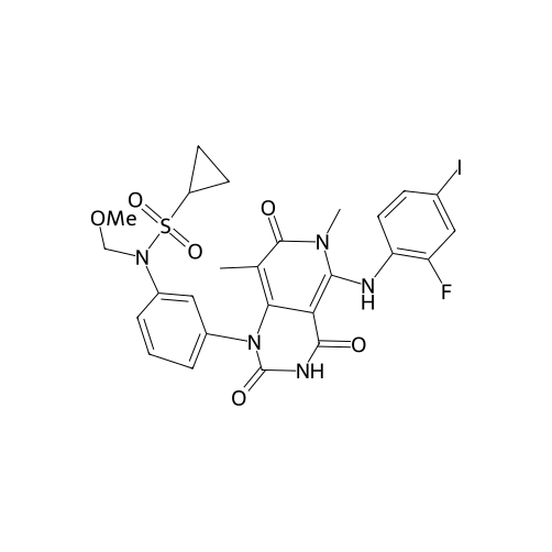 COCN(c1cccc(-n2c(=O)[nH]c(=O)c3c(Nc4ccc(I)cc4F)n(C)c(=O)c(C)c32)c1)S(=O)(=O)C1CC1